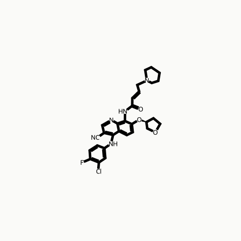 N#Cc1cnc2c(NC(=O)/C=C/CN3CCCCC3)c(O[C@H]3CCOC3)ccc2c1Nc1ccc(F)c(Cl)c1